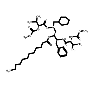 CCCCCCCCCCCC(=O)O[C@@H](CN(CC1CCCCC1)NC(=O)[C@@H](NC(=O)OC)C(C)C)[C@H](Cc1ccccc1)NC(=O)[C@@H](NC(=O)OC)C(C)C